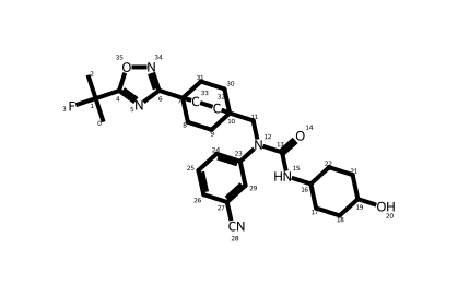 CC(C)(F)c1nc(C23CCC(CN(C(=O)NC4CCC(O)CC4)c4cccc(C#N)c4)(CC2)CC3)no1